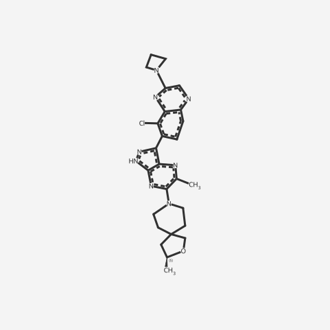 Cc1nc2c(-c3ccc4ncc(N5CCC5)nc4c3Cl)n[nH]c2nc1N1CCC2(CC1)CO[C@@H](C)C2